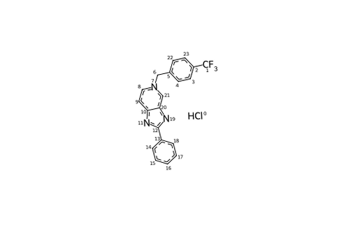 Cl.FC(F)(F)c1ccc(Cn2ccc3nc(-c4ccccc4)nc-3c2)cc1